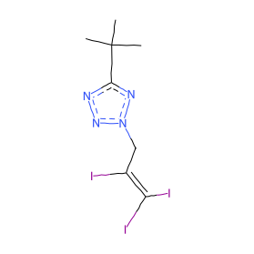 CC(C)(C)c1nnn(CC(I)=C(I)I)n1